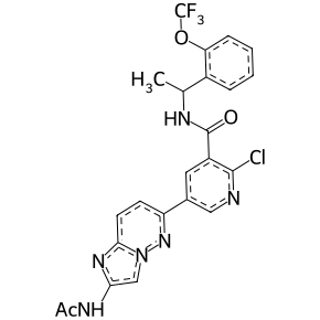 CC(=O)Nc1cn2nc(-c3cnc(Cl)c(C(=O)NC(C)c4ccccc4OC(F)(F)F)c3)ccc2n1